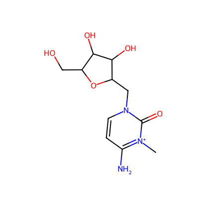 C[n+]1c(N)ccn(CC2OC(CO)C(O)C2O)c1=O